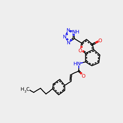 CCCCc1ccc(C=CC(=O)Nc2cccc3c(=O)cc(-c4nnn[nH]4)oc23)cc1